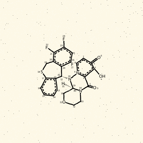 O=C1c2c(O)c(=O)ccn2N([C@@H]2c3ccccc3SCc3c(F)c(F)cc(F)c32)[C@@H]2COCCN12